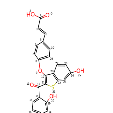 O=C(O)/C=C/c1ccc(Oc2c(C(=O)c3ccccc3O)sc3cc(O)ccc23)cc1